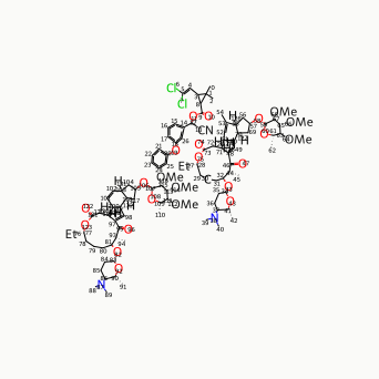 CC1(C)C(C=C(Cl)Cl)C1C(=O)OC(C#N)c1cccc(Oc2ccccc2)c1.CC[C@H]1CCC[C@H](O[C@H]2CC[C@H](N(C)C)[C@@H](C)O2)[C@@H](C)C(=O)C2=C[C@@H]3[C@@H](C=C(C)[C@@H]4C[C@@H](O[C@@H]5O[C@@H](C)[C@H](OC)[C@@H](OC)[C@H]5OC)C[C@@H]34)[C@@H]2CC(=O)O1.CC[C@H]1CCC[C@H](O[C@H]2CC[C@H](N(C)C)[C@@H](C)O2)[C@@H](C)C(=O)C2=C[C@@H]3[C@@H](C=C[C@@H]4C[C@@H](O[C@@H]5O[C@@H](C)[C@H](OC)[C@@H](OC)[C@H]5OC)C[C@@H]34)[C@@H]2CC(=O)O1